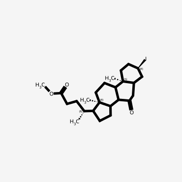 COC(=O)CC[C@@H](C)C1CCC2C3C(=O)CC4C[C@H](I)CC[C@]4(C)C3CC[C@@]21C